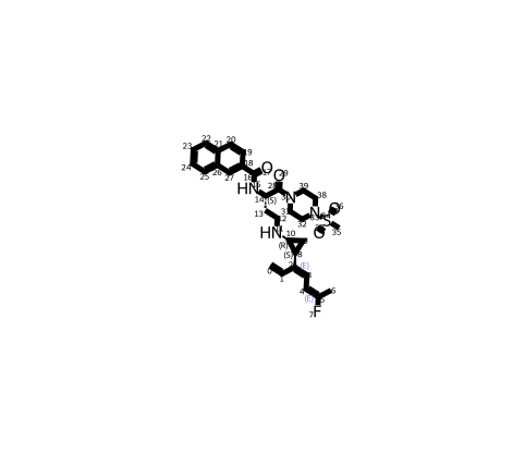 C=C/C(=C\C=C(/C)F)[C@@H]1C[C@H]1NCC[C@H](NC(=O)c1ccc2ccccc2c1)C(=O)N1CCN(S(C)(=O)=O)CC1